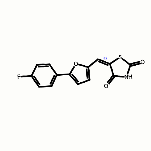 O=C1NC(=O)/C(=C\c2ccc(-c3ccc(F)cc3)o2)S1